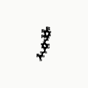 CCc1ccc(CCc2ccc(CCC=C(C)F)cc2)c(F)c1F